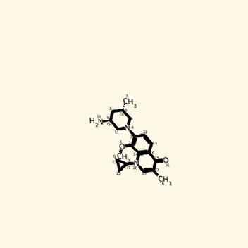 COc1c(N2C[C@@H](C)C[C@H](N)C2)ccc2c(=O)c(C)cn(C3CC3)c12